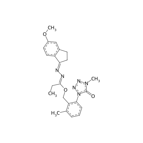 CC/C(=N\N=C1CCc2cc(OC)ccc21)OCc1c(C)cccc1-n1nnn(C)c1=O